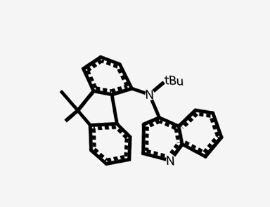 CC1(C)c2ccccc2-c2c(N(c3ccnc4ccccc34)C(C)(C)C)cccc21